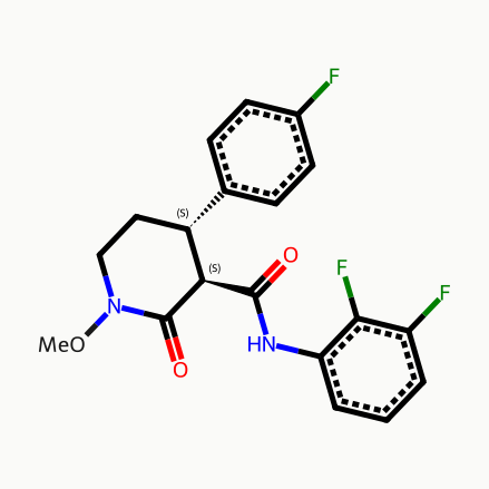 CON1CC[C@H](c2ccc(F)cc2)[C@@H](C(=O)Nc2cccc(F)c2F)C1=O